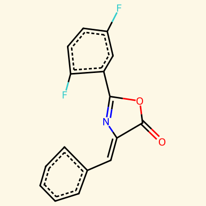 O=C1OC(c2cc(F)ccc2F)=NC1=Cc1ccccc1